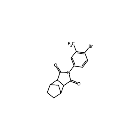 O=C1C2C3CCC(C3)C2C(=O)N1c1ccc(Br)c(C(F)(F)F)c1